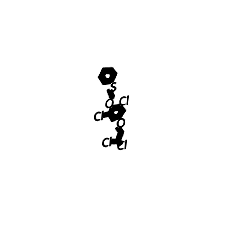 ClC(Cl)=CCOc1cc(Cl)c(OCCSc2ccccc2)c(Cl)c1